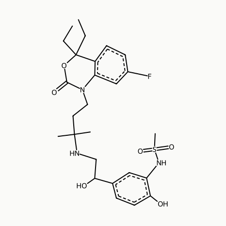 CCC1(CC)OC(=O)N(CCC(C)(C)NCC(O)c2ccc(O)c(NS(C)(=O)=O)c2)c2cc(F)ccc21